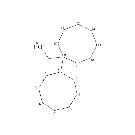 OCC1(C2CCCCCCC2)CCCCCCC1